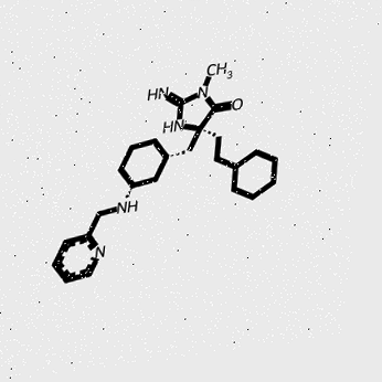 CN1C(=N)N[C@](CCC2CCCCC2)(C[C@H]2CCC[C@@H](NCc3ccccn3)C2)C1=O